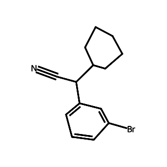 N#CC(c1cccc(Br)c1)C1CCCCC1